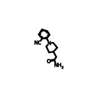 N#Cc1ccccc1N1CCC(CC(N)=O)CC1